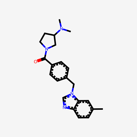 Cc1ccc2ncn(Cc3ccc(C(=O)N4CCC(N(C)C)C4)cc3)c2c1